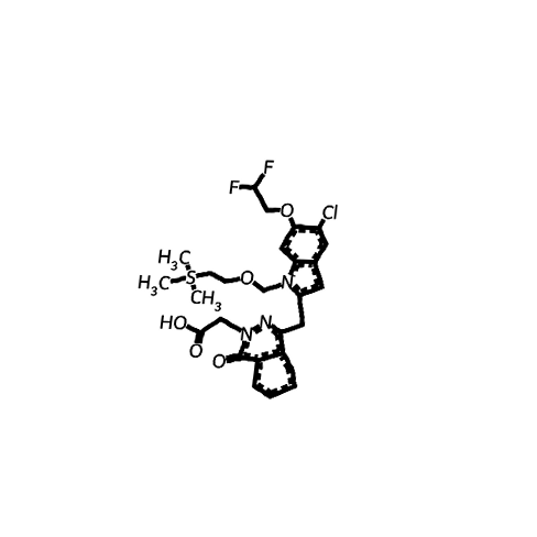 CS(C)(C)CCOCn1c(Cc2nn(CC(=O)O)c(=O)c3ccccc23)cc2cc(Cl)c(OCC(F)F)cc21